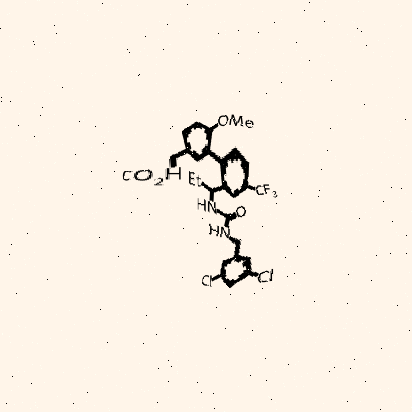 CCC(NC(=O)NCc1cc(Cl)cc(Cl)c1)c1cc(C(F)(F)F)ccc1-c1cc(CC(=O)O)ccc1OC